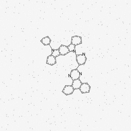 c1ccc(-n2c3ccccc3c3cc4c(cc32)c2ccccc2n4-c2cc(-c3cnc4c5ccccc5c5ccccc5c4n3)ccn2)cc1